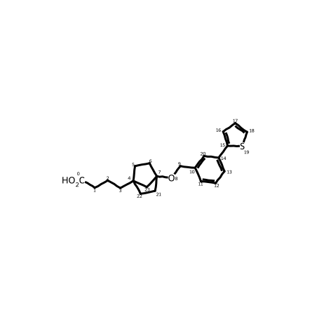 O=C(O)CCCC12CCC(OCc3cccc(-c4cccs4)c3)(CC1)C2